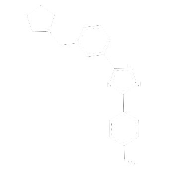 CSc1ccc(-c2nc(-c3cccc(CN4CCCC4)c3)n[nH]2)cc1